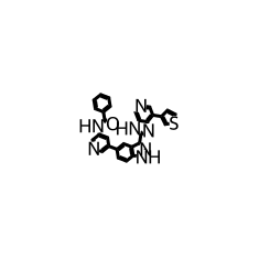 O=C(Nc1cncc(-c2ccc3[nH]nc(-c4nc5c(-c6ccsc6)cncc5[nH]4)c3c2)c1)c1ccccc1